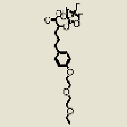 CCOCCOCCOc1ccc(CCCC(OS(=O)(=O)C(F)(F)F)C(=O)O)cc1